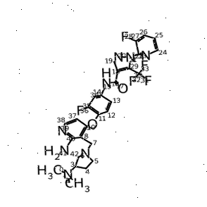 CN(C)C1CCN(Cc2c(Oc3ccc(NC(=O)c4cnn(-c5ncccc5F)c4C(F)(F)F)cc3F)ccnc2N)C1